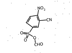 N#Cc1cc(S(=O)(=O)OC=O)ccc1[N+](=O)[O-]